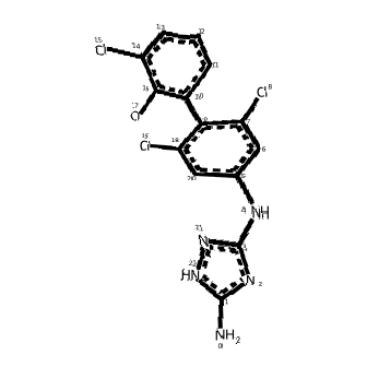 Nc1nc(Nc2cc(Cl)c(-c3cccc(Cl)c3Cl)c(Cl)c2)n[nH]1